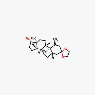 C=C1CC2(C[C@@H]3CC[C@H]4[C@@H]5CC[C@H](O)[C@@]5(C)CC[C@@H]4[C@@]13C)OCCO2